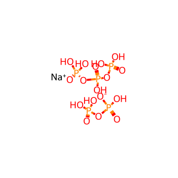 O=P(O)(O)OP(=O)(O)OP(=O)(O)O.O=P([O-])(O)OP(=O)(O)O.[Na+]